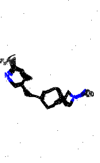 O=CN1CC2(CCC(Cc3ccc(C(F)(F)F)nc3)CC2)C1